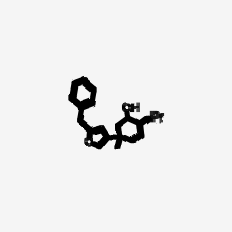 CC(C)C1CCC(C)(c2coc(Cc3ccccc3)c2)CC1O